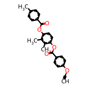 C#COc1ccc(C(=O)Oc2ccc(OC(=O)c3ccc(C)cc3)c(C)c2C)cc1